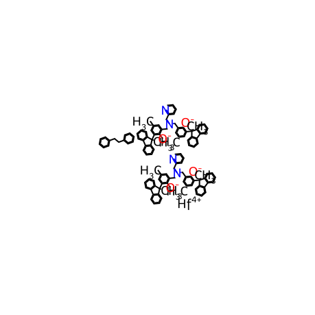 Cc1cc(CN(Cc2ccccn2)Cc2cc(C)cc(C3(C)c4ccccc4-c4ccccc43)c2[O-])c([O-])c(C2(C)c3ccccc3-c3ccccc32)c1.Cc1cc(CN(Cc2ccccn2)Cc2cc(C)cc(C3(C)c4ccccc4-c4ccccc43)c2[O-])c([O-])c(C2(C)c3ccccc3-c3ccccc32)c1.[Hf+4].c1ccc(CCc2ccccc2)cc1